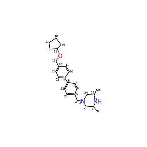 CC1CN(Cc2ccc(-c3ccc(COC4CCCC4)cc3)cc2)CC(C)N1